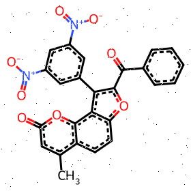 Cc1cc(=O)oc2c1ccc1oc(C(=O)c3ccccc3)c(-c3cc([N+](=O)[O-])cc([N+](=O)[O-])c3)c12